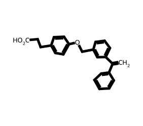 C=C(c1ccccc1)c1cccc(COc2ccc(CCC(=O)O)cc2)c1